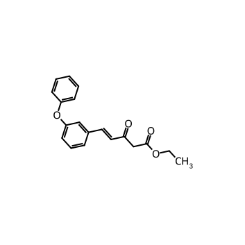 CCOC(=O)CC(=O)C=Cc1cccc(Oc2ccccc2)c1